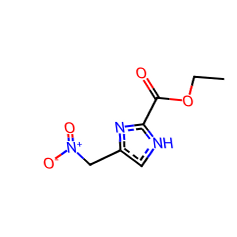 CCOC(=O)c1nc(C[N+](=O)[O-])c[nH]1